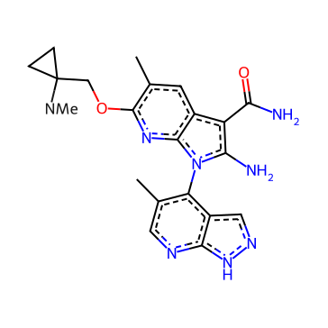 CNC1(COc2nc3c(cc2C)c(C(N)=O)c(N)n3-c2c(C)cnc3[nH]ncc23)CC1